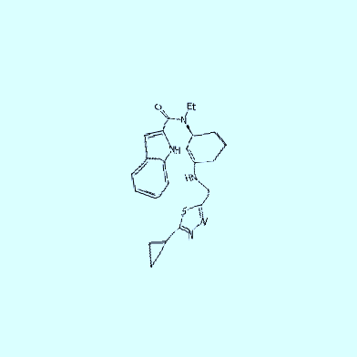 CCN(C(=O)c1cc2ccccc2[nH]1)[C@@H]1C=C(NCc2nnc(C3CC3)s2)CCC1